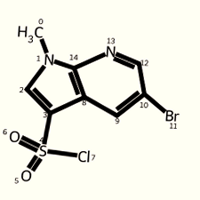 Cn1cc(S(=O)(=O)Cl)c2cc(Br)cnc21